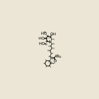 C[C@H]1CCCCC1N(CCCCCCN1C[C@H](O)[C@@H](O)[C@H](O)[C@H]1CO)C(=O)C(C)(C)C